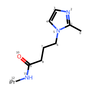 Cc1n[c]cn1CCCC(=O)NC(C)C